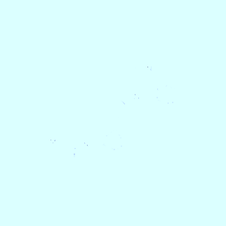 COC(=O)N1CCc2c(cccc2OCC(=O)N(CCN(C)C)Cc2ccccc2)C1